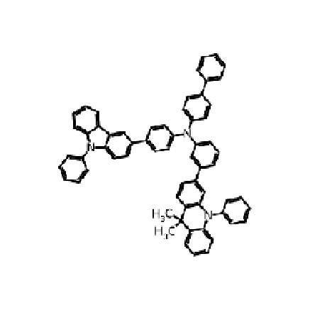 CC1(C)c2ccccc2N(c2ccccc2)c2cc(-c3cccc(N(c4ccc(-c5ccccc5)cc4)c4ccc(-c5ccc6c(c5)c5ccccc5n6-c5ccccc5)cc4)c3)ccc21